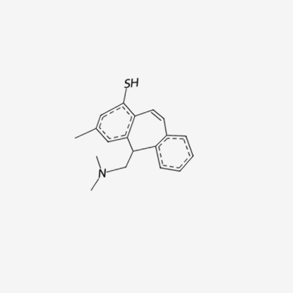 Cc1cc(S)c2c(c1)C(CN(C)C)c1ccccc1C=C2